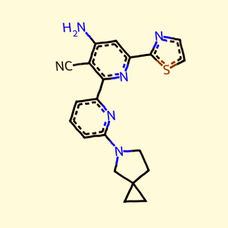 N#Cc1c(N)cc(-c2nccs2)nc1-c1cccc(N2CCC3(CC3)C2)n1